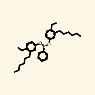 CCCCCCc1cc(OP(Oc2ccc(CC)c(CCCCCC)c2)c2ccccc2)ccc1CC